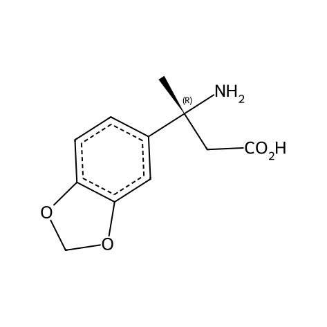 C[C@@](N)(CC(=O)O)c1ccc2c(c1)OCO2